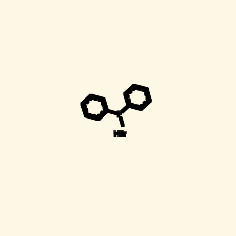 Br.CP(c1ccccc1)c1ccccc1